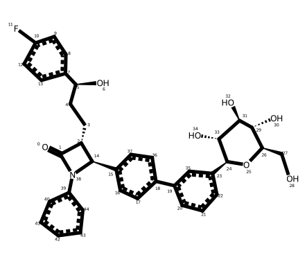 O=C1[C@H](CC[C@H](O)c2ccc(F)cc2)[C@@H](c2ccc(-c3cccc([C@@H]4O[C@H](CO)[C@@H](O)[C@H](O)[C@H]4O)c3)cc2)N1c1ccccc1